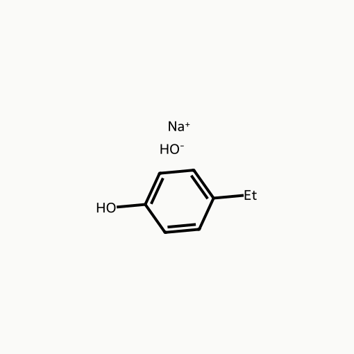 CCc1ccc(O)cc1.[Na+].[OH-]